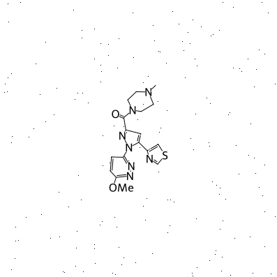 COc1ccc(-n2nc(C(=O)N3CCN(C)CC3)cc2-c2cscn2)nn1